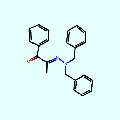 C/C(=N\N(Cc1ccccc1)Cc1ccccc1)C(=O)c1ccccc1